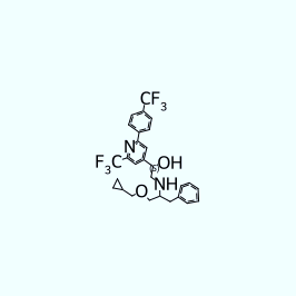 O[C@H](CNC(COCC1CC1)Cc1ccccc1)c1cc(-c2ccc(C(F)(F)F)cc2)nc(C(F)(F)F)c1